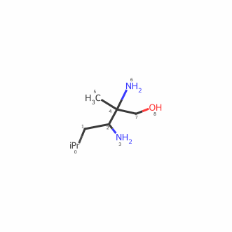 CC(C)CC(N)C(C)(N)CO